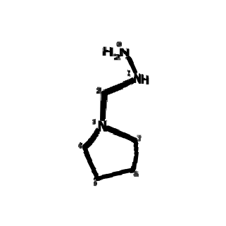 NNCN1C[CH]CC1